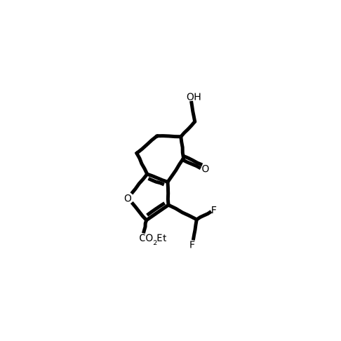 CCOC(=O)c1oc2c(c1C(F)F)C(=O)C(CO)CC2